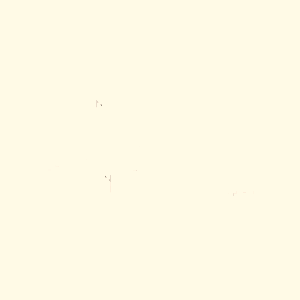 CCCCCCCCCCCC(=O)NC(CCC)C(C)(C)N